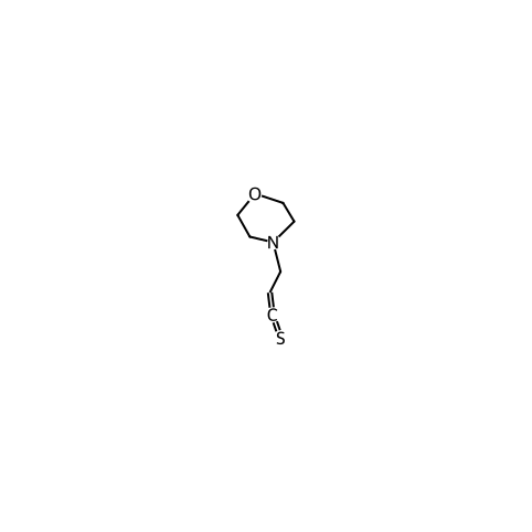 S=C=CCN1CCOCC1